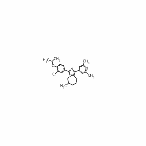 Cc1cc(-c2nc(-c3ccc(OC(C)C)c(Cl)c3)n3c2CCCC(C)C3)cc(C)n1